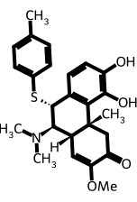 COC1=C[C@@H]2[C@@H](N(C)C)[C@H](Sc3ccc(C)cc3)c3ccc(O)c(O)c3[C@]2(C)CC1=O